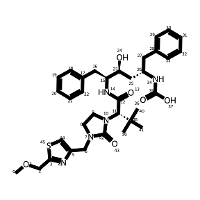 COCc1nc(CN2CCN([C@H](C(=O)N[C@@H](Cc3ccccc3)[C@@H](O)C[C@H](Cc3ccccc3)NC(=O)O)C(C)(C)C)C2=O)cs1